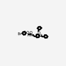 O=C(COc1ccc(Br)cc1)NCCc1ccc(OCc2ccccc2)c(OCc2ccccc2)c1